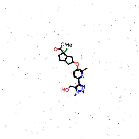 COC(=O)C1(F)CCC2CC(Oc3ccc(-c4nnn(C)c4CO)nc3C)CC21